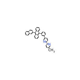 Cc1ccc(-c2ccc(-c3cccc(-c4c5ccccc5c(-c5ccc6ccccc6c5)c5ccccc45)c3)cn2)nc1